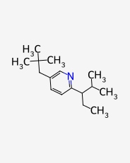 CCC(c1ccc(CC(C)(C)C)cn1)C(C)C